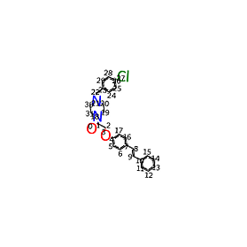 O=C(COc1ccc(C=Cc2ccccc2)cc1)N1CCN(Cc2ccc(Cl)cc2)CC1